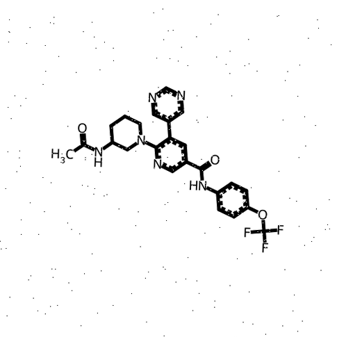 CC(=O)NC1CCCN(c2ncc(C(=O)Nc3ccc(OC(F)(F)F)cc3)cc2-c2cncnc2)C1